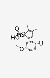 CC1=C(C)[SiH](C(=O)O)C=C1.[Li][c]1ccc(OC)cc1